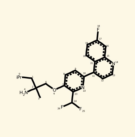 CC(C)CC(C)(N)COc1ccc(-c2ccnc3cc(F)ccc23)nc1C(F)F